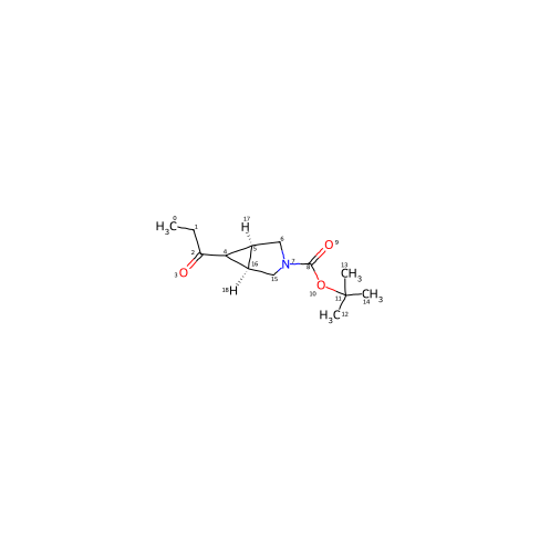 CCC(=O)C1[C@H]2CN(C(=O)OC(C)(C)C)C[C@@H]12